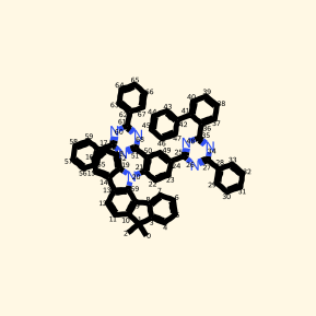 CC1(C)c2ccccc2-c2c1ccc1c3ccccc3n(-c3ccc(-c4nc(-c5ccccc5)nc(-c5ccccc5-c5ccccc5)n4)cc3-c3nc(-c4ccccc4)nc(-c4ccccc4)n3)c21